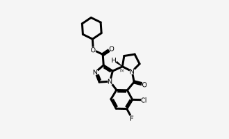 O=C(OC1CCCCC1)c1ncn2c1[C@@H]1CCCN1C(=O)c1c-2ccc(F)c1Cl